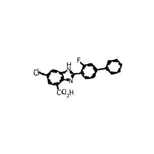 O=C(O)c1cc(Cl)cc2[nH]c(-c3ccc(-c4ccccc4)cc3F)nc12